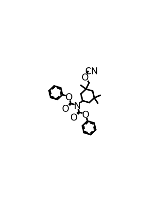 CC1(C)CC(N(C(=O)Oc2ccccc2)C(=O)Oc2ccccc2)CC(C)(COC#N)C1